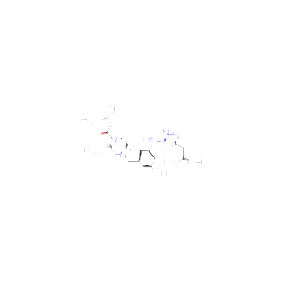 Cc1cc(CN2CCN(C(=O)OC(C)C)[C@@H](C)C2)c(C)c(Nc2nnc(C[C@@H](C)O)o2)c1